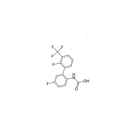 O=C(O)Nc1ccc(F)cc1-c1cccc(C(F)(F)F)c1F